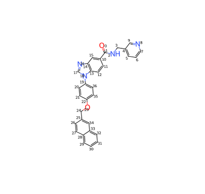 O=C(NCc1cccnc1)c1ccc2c(c1)ncn2-c1ccc(OCc2ccc3ccccc3c2)cc1